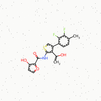 C=C(O)c1c(-c2ccc(C)c(F)c2F)csc1NC(=O)c1occc1O